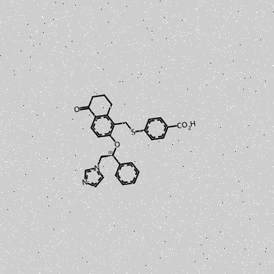 O=C(O)c1ccc(SCc2c(O[C@H](Cn3ccnc3)c3ccccc3)ccc3c2CCCC3=O)cc1